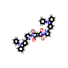 O=C1C2C(C(=O)N1c1cccc(-c3ccc4c5ccccc5n(-c5ccccc5)c4c3)n1)C1C(=O)N(c3cccc(-c4ccc5c6ccccc6n(-c6ccccc6)c5c4)n3)C(=O)C21